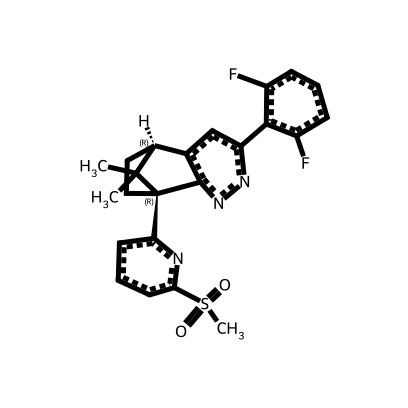 CC1(C)[C@H]2CC[C@@]1(c1cccc(S(C)(=O)=O)n1)c1nnc(-c3c(F)cccc3F)cc12